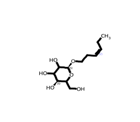 CC/C=C\CCO[C@H]1OC(CO)[C@@H](O)C(O)C1O